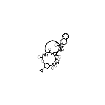 C1CC1.O=C1NC2CCCCCC=CC3CC3NC(=O)C3(CC(OC(=O)N4CCc5ccccc5C4)CN3C2=O)C(=O)NS(=O)(=O)C2CCC(C2)O1